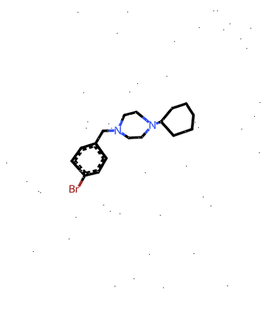 Brc1ccc(CN2CCN(C3CCCCC3)CC2)cc1